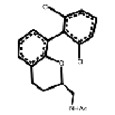 CC(=O)NC[C@H]1CCc2cccc(-c3c(Cl)cccc3Cl)c2O1